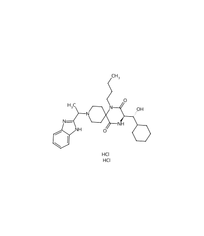 CCCCN1C(=O)[C@@H]([C@H](O)C2CCCCC2)NC(=O)C12CCN(C(C)c1nc3ccccc3[nH]1)CC2.Cl.Cl